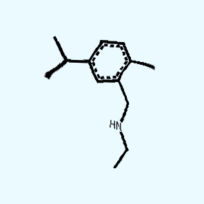 CCNCc1cc(C(C)C)ccc1C